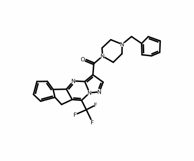 O=C(c1cnn2c(C(F)(F)F)c3c(nc12)-c1ccccc1C3)N1CCN(Cc2ccccc2)CC1